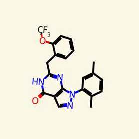 Cc1ccc(C)c(-n2ncc3c(=O)[nH]c(Cc4ccccc4OC(F)(F)F)nc32)c1